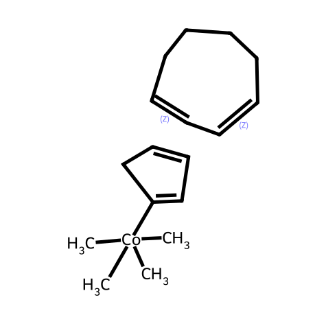 C1=C\CCCC\C=C/1.[CH3][Co]([CH3])([CH3])([CH3])[C]1=CC=CC1